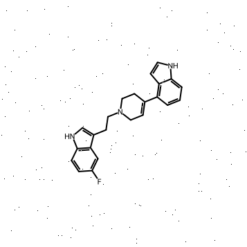 Fc1ccc2[nH]cc(CCN3CC=C(c4cccc5[nH]ccc45)CC3)c2c1